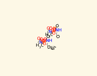 CC(O[PH](=O)[C@@H](CCc1ccccc1)NC(=O)c1ccccc1)C(=O)N1CCC[C@H]1C(=O)[O-].CC(O[PH](=O)[C@@H](CCc1ccccc1)NC(=O)c1ccccc1)C(=O)N1CCC[C@H]1C(=O)[O-].[Li+].[Li+]